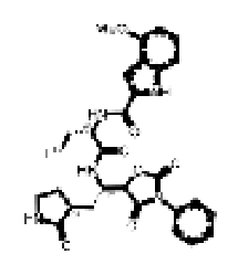 COc1cccc2[nH]c(C(=O)N[C@@H](CC(C)C)C(=O)N[C@@H](C[C@@H]3CCNC3=O)C3OC(=O)N(c4ccccc4)C3=O)cc12